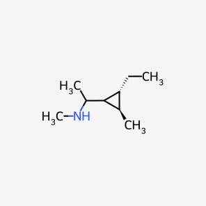 CC[C@H]1C(C(C)NC)[C@@H]1C